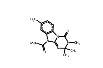 CNC(=O)N1C2=NC(C)(C)N(C)C(=O)N2c2ccc(C)cc21